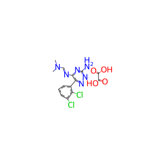 CN(C)C=Nc1nc(N)nnc1-c1cccc(Cl)c1Cl.O=C(O)C(=O)O